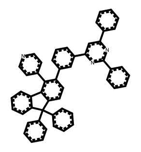 c1ccc(-c2cc(-c3cccc(-c4ccc5c(c4-c4ccncc4)-c4ccccc4C5(c4ccccc4)c4ccccc4)c3)nc(-c3ccccc3)n2)cc1